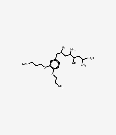 COCCCOc1cc(CC(CC(N)C(O)CC(C)C(=O)O)C(C)C)ccc1OCCN